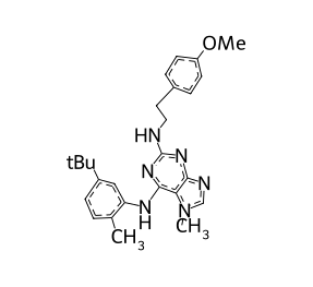 COc1ccc(CCNc2nc(Nc3cc(C(C)(C)C)ccc3C)c3c(ncn3C)n2)cc1